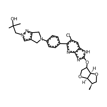 C[C@@H]1CO[C@@H]2C(Oc3nc4nc(-c5ccc(N6Cc7cn(CC(C)(C)O)nc7C6)cc5)c(Cl)cc4[nH]3)CO[C@H]12